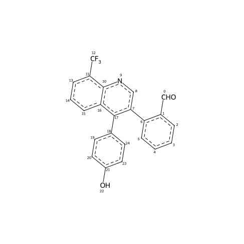 O=Cc1ccccc1-c1cnc2c(C(F)(F)F)cccc2c1-c1ccc(O)cc1